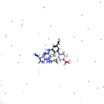 CC(=O)N1CCN(c2cc(C#N)cc(Nc3nc(NC4CC4)c4ncc(C#N)n4n3)c2Cl)CC1